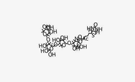 CC(=O)NC1(C)C(C)(COC[C@@]2(C)OC(C)(C)[C@@](C)(COC[C@]3(C)OC(C)(CO)[C@@](C)(O)C(C)(O)C3(C)COCC3(C)OC(C)(C)[C@@H](O)C(C)(O)C3(C)O)C(C)(O)C2(C)O)C(C)(O)C(C)(CO)O[C@@]1(C)OC(=O)CCCCC1SC[C@@H]2NC(=O)N[C@H]12